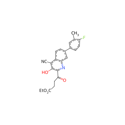 CCOC(=O)CCC(=O)c1nc2cc(-c3ccc(F)c(C)c3)ccc2c(C#N)c1O